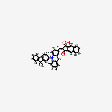 Cc1cc(C)c(N(c2ccc(/C=C3\C(=O)c4cc5ccccc5cc4C3O)cc2)c2ccc3c(c2)C(C)(C)C2=C3CCC=C2)c(C)c1